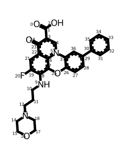 O=C(O)c1cn2c3c(c(NCCCN4CCOCC4)c(F)cc3c1=O)Oc1ccc(-c3ccccc3)cc1-2